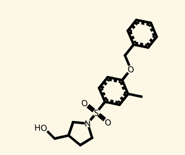 Cc1cc(S(=O)(=O)N2CCC(CO)C2)ccc1OCc1ccccc1